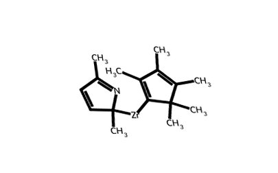 CC1=N[C](C)([Zr][C]2=C(C)C(C)=C(C)C2(C)C)C=C1